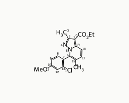 CCOC(=O)c1c(C)nn2c(-c3ccc(OC)cc3Cl)c(C)ccc12